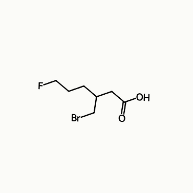 O=C(O)CC(CBr)CCCF